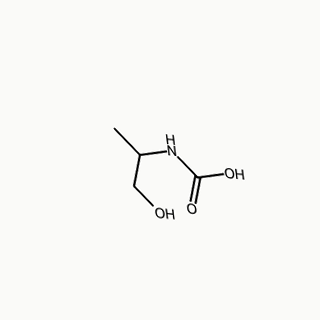 CC(CO)NC(=O)O